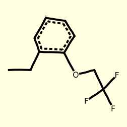 CCc1c[c]ccc1OCC(F)(F)F